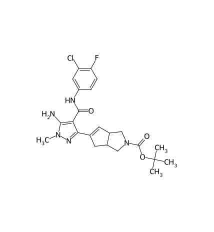 Cn1nc(C2=CC3CN(C(=O)OC(C)(C)C)CC3C2)c(C(=O)Nc2ccc(F)c(Cl)c2)c1N